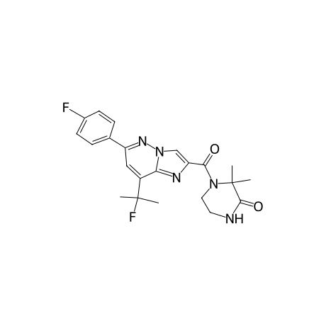 CC(C)(F)c1cc(-c2ccc(F)cc2)nn2cc(C(=O)N3CCNC(=O)C3(C)C)nc12